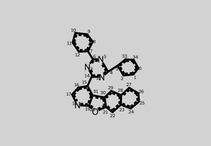 c1ccc(-c2nc(-c3ccccc3)nc(-c3ccnc4oc5cc6ccccc6cc5c34)n2)cc1